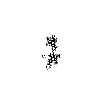 COc1nc(CCN(C)CC(C)c2ccc(-c3c(O)nc(C)c4[nH]c(=O)c5oncc5c34)cc2)c2[nH]c(=O)c3sc(CF)cc3c2c1-c1ccc(C(C)CN)cc1